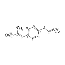 C=CCc1ccc(C=C(C)C=O)cc1